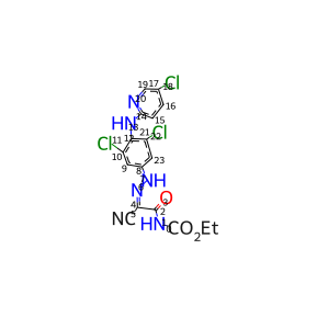 CCOC(=O)NC(=O)C(C#N)=NNc1cc(Cl)c(Nc2ccc(Cl)cn2)c(Cl)c1